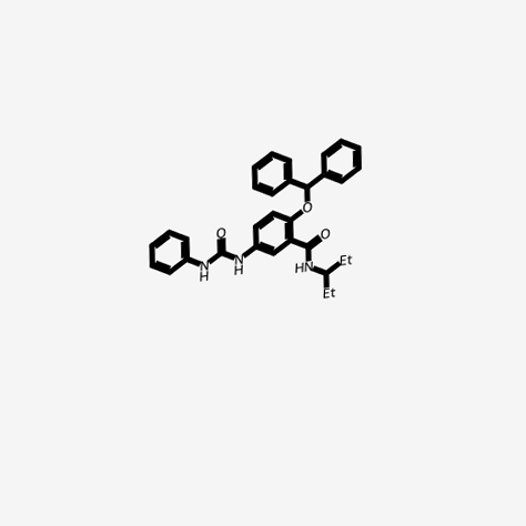 CCC(CC)NC(=O)c1cc(NC(=O)Nc2ccccc2)ccc1OC(c1ccccc1)c1ccccc1